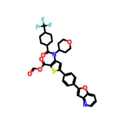 O=COC(=O)c1sc(-c2ccc(-c3cc4ncccc4o3)cc2)cc1N(C(=O)C1CCC(C(F)(F)F)CC1)C1CCOCC1